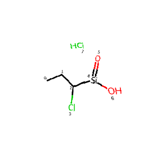 CCC(Cl)[Si](=O)O.Cl